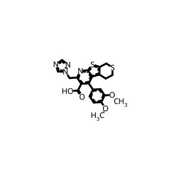 COc1ccc(-c2c(C(=O)O)c(Cn3cncn3)nc3sc4c(c23)CCSC4)cc1OC